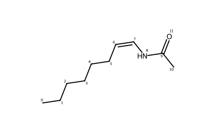 CCCCCC/C=C\NC(C)=O